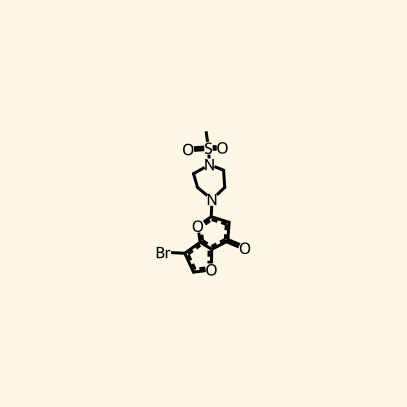 CS(=O)(=O)N1CCN(c2cc(=O)c3occ(Br)c3o2)CC1